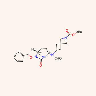 CC(C)(C)OC(=O)N1CC2(CC(N(C=O)[C@@H]3CC[C@@H]4CN3C(=O)N4OCc3ccccc3)C2)C1